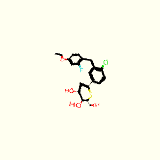 CCOc1ccc(Cc2cc([C@H]3C[C@@H](O)[C@H](O)[C@@H](CO)S3)ccc2Cl)c(F)c1